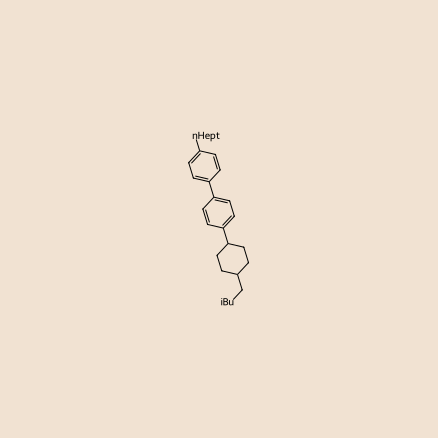 CCCCCCCc1ccc(-c2ccc(C3CCC(CC(C)CC)CC3)cc2)cc1